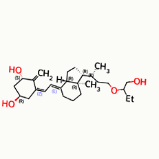 C=C1/C(=C\C=C2/CCC[C@]3(C)[C@@H]([C@H](C)CCOC(CC)CO)CC[C@@H]23)C[C@@H](O)C[C@@H]1O